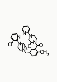 CC1=CCC(CN2CCN(c3ncccc3Cl)CC2)C=C1C(=O)N1CCN(c2ccccn2)CC1C